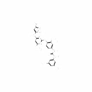 Cc1cc(Nc2cc(Br)n[nH]2)nc(Sc2ccc(NC(=O)Nc3cc(O)cc(O)c3)cc2C)n1